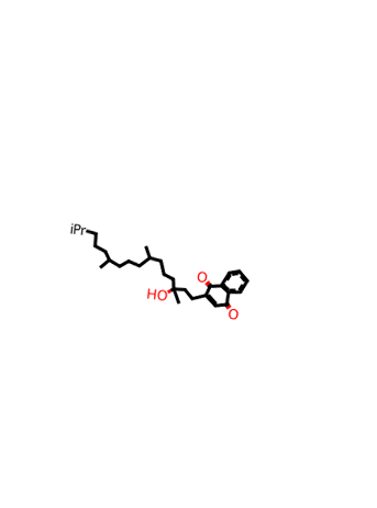 CC(C)CCCC(C)CCCC(C)CCCC(C)(O)CCC1=CC(=O)c2ccccc2C1=O